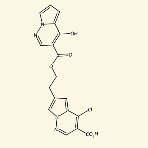 O=C(OCCc1cc2c(Cl)c(C(=O)O)cnn2c1)c1cnn2cccc2c1O